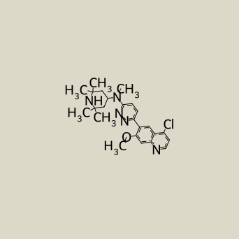 COc1cc2nccc(Cl)c2cc1-c1ccc(N(C)C2CC(C)(C)NC(C)(C)C2)nn1